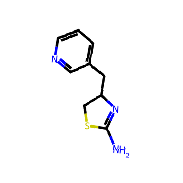 NC1=NC(Cc2cccnc2)CS1